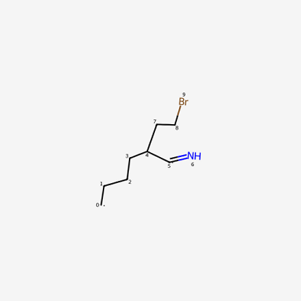 [CH2]CCCC([C]=N)CCBr